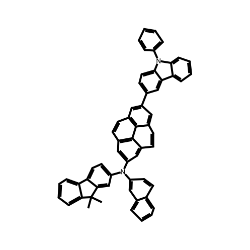 CC1(C)c2ccccc2-c2ccc(N(c3ccc4ccccc4c3)c3cc4ccc5cc(-c6ccc7c(c6)c6ccccc6n7-c6ccccc6)cc6ccc(c3)c4c56)cc21